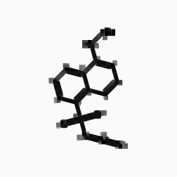 CCCCNc1cccc2c(S(=O)(=O)N=[N+]=[N-])cccc12